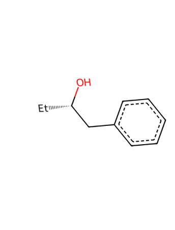 CC[C@H](O)Cc1ccccc1